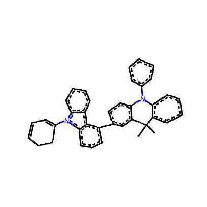 CC1(C)c2ccccc2N(c2ccccc2)c2ccc(-c3cccc4c3c3ccccc3n4C3=CC=CCC3)cc21